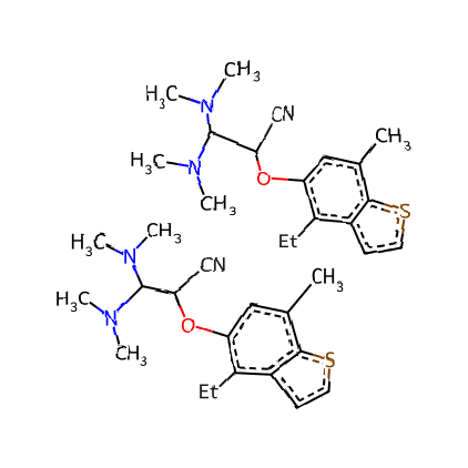 CCc1c(OC(C#N)C(N(C)C)N(C)C)cc(C)c2sccc12.CCc1c(OC(C#N)C(N(C)C)N(C)C)cc(C)c2sccc12